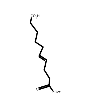 CCCCCCCCC(=O)CCC=CCCCCC(=O)O